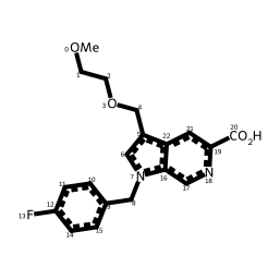 COCCOCc1cn(Cc2ccc(F)cc2)c2cnc(C(=O)O)cc12